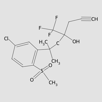 C#CCC(O)(CC(C)(C)c1cc(Cl)ccc1S(C)(=O)=O)C(F)(F)F